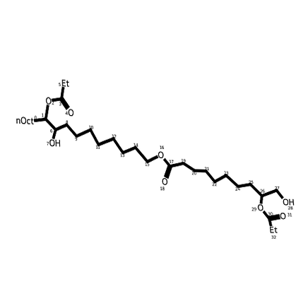 CCCCCCCCC(OC(=O)CC)C(O)CCCCCCCCOC(=O)CCCCCCCC(CO)OC(=O)CC